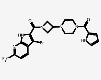 O=C(c1ccc[nH]1)N1CCN(C2CN(C(=O)c3[nH]c4nc(C(F)(F)F)ccc4c3Br)C2)CC1